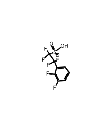 O=S(=O)(O)C(F)(F)C(F)(F)c1cccc(F)c1F